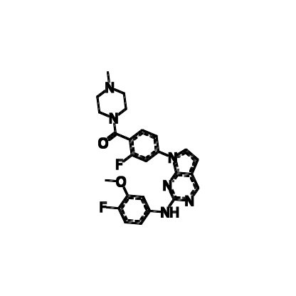 COc1cc(Nc2ncc3ccn(-c4ccc(C(=O)N5CCN(C)CC5)c(F)c4)c3n2)ccc1F